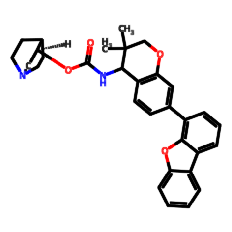 CC1(C)COc2cc(-c3cccc4c3oc3ccccc34)ccc2C1NC(=O)O[C@H]1CN2CCC1CC2